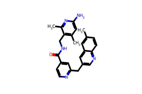 Cc1ccc2ncc(Cc3cc(C(=O)NCc4c(C)cc(N)nc4C)ccn3)cc2c1